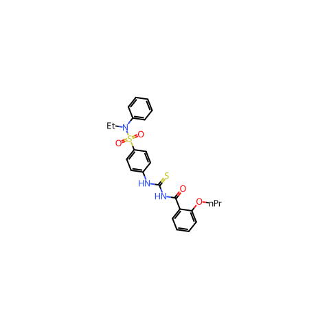 CCCOc1ccccc1C(=O)NC(=S)Nc1ccc(S(=O)(=O)N(CC)c2ccccc2)cc1